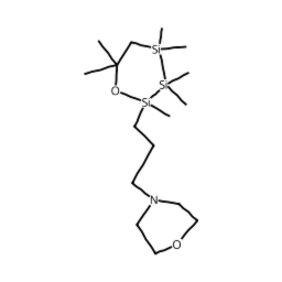 CC1(C)C[Si](C)(C)[Si](C)(C)[Si](C)(CCCN2CCOCC2)O1